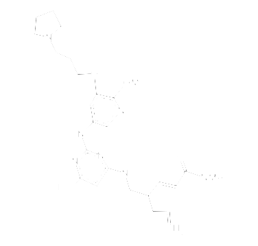 C=CCC(/C=C/C(=O)NC)CNc1cc(C)nc(Nc2cnc(OC)c(OCCCN3CCCC3)c2)n1